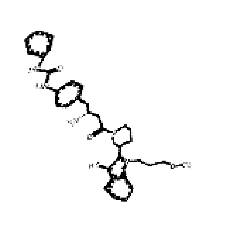 COCCCn1c(C2CCCN(C(=O)C[C@H](N)Cc3ccc(NC(=O)Nc4ccccc4)cc3)C2)c(C)c2ccccc21